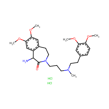 COc1ccc(CCN(C)CCCN2CCc3cc(OC)c(OC)cc3C(N)C2=O)cc1OC.Cl.Cl